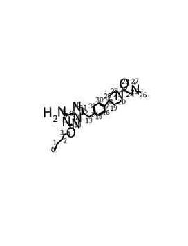 CCCCOc1nc(N)c2ncc(Cc3ccc(C4CCN(C(=O)CN(C)C)CC4)cc3)n2n1